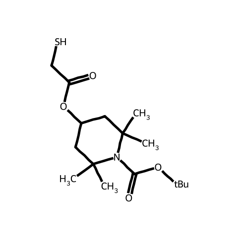 CC(C)(C)OC(=O)N1C(C)(C)CC(OC(=O)CS)CC1(C)C